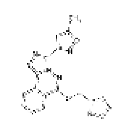 Cc1cc(-c2nnc3c4ccccc4c(OCc4cscn4)nn23)no1